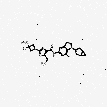 CCC1(OC)CN(c2nc(C(=O)Nc3cc(F)c4c(c3)CCN4C3CC4CC4C3)c(CC(F)(F)F)o2)C1